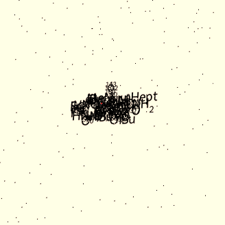 CCCCCCC[C@H](NC(=O)[C@@H](NC(=O)[C@@H](Cc1ccccc1)NC)[C@@H](C)CC)C(=O)N[C@H](CCC(N)=O)C(=O)N[C@@H](C(=O)N[C@H](C(=O)N[C@@H](CO)C(=O)N[C@H]1C(=O)N[C@@H](C)C(=O)N[C@@]2(C[C@H]2CC(F)F)C(=O)N[C@@H]([C@@H](C)CC)C(=O)O[C@H]1C)[C@@H](C)CC)[C@@H](C)CC